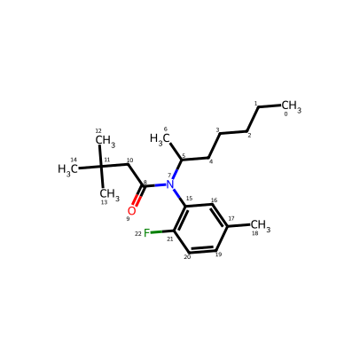 CCCCCC(C)N(C(=O)CC(C)(C)C)c1cc(C)ccc1F